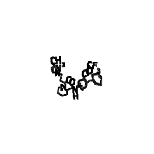 Cc1ccn(CCC(=O)N2CCCCC2C(=O)Nc2ccc(-c3ccccc3OC(F)(F)F)c(Cl)c2)n1